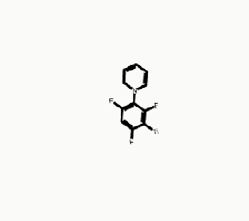 Fc1cc(F)c(N2C=CC=CC2)c(F)[c]1[Ti]